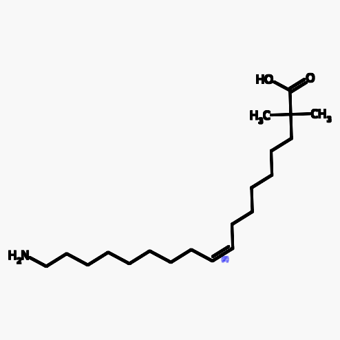 CC(C)(CCCCCC/C=C\CCCCCCCCN)C(=O)O